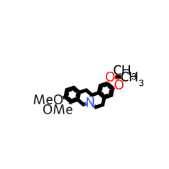 COc1ccc2c(c1OC)CN1CCc3cc4c(cc3C1C2)OC(C)(C)O4